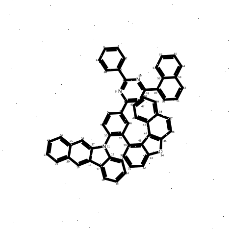 c1ccc(-c2nc(-c3ccc(-n4c5ccccc5c5cc6ccccc6cc54)c(-c4cccc5oc6ccc7ccccc7c6c45)c3)nc(-c3cccc4ccccc34)n2)cc1